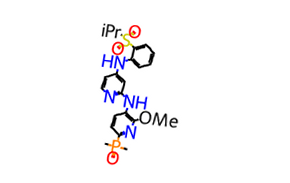 COc1nc(P(C)(C)=O)ccc1Nc1cc(Nc2ccccc2S(=O)(=O)C(C)C)ccn1